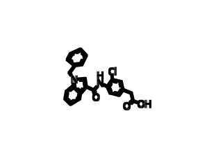 O=C(O)Cc1ccc(NC(=O)c2cn(Cc3ccccc3)c3ccccc23)c(Cl)c1